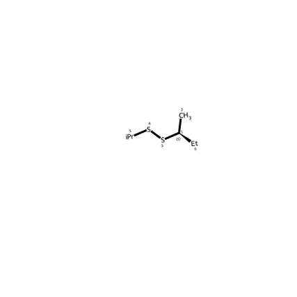 CC[C@H](C)SSC(C)C